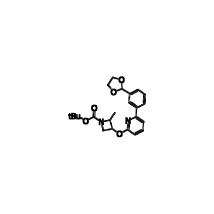 CC1C(Oc2cccc(-c3cccc(C4OCCO4)c3)n2)CN1C(=O)OC(C)(C)C